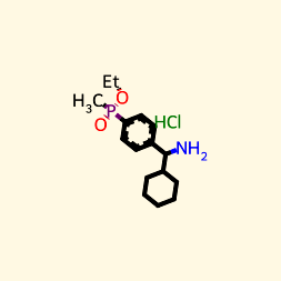 CCOP(C)(=O)c1ccc(C(N)C2CCCCC2)cc1.Cl